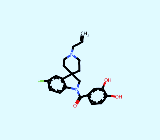 C=CCN1CCC2(CC1)CN(C(=O)c1ccc(O)c(O)c1)c1ccc(F)cc12